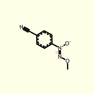 CO/N=[N+](\[O-])c1ccc(C#N)cc1